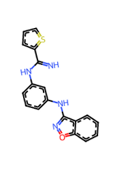 N=C(Nc1cccc(Nc2noc3ccccc23)c1)c1cccs1